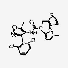 Cc1onc(-c2c(Cl)cccc2Cl)c1NC(=O)OCc1sccc1-n1c(C)ccc1C